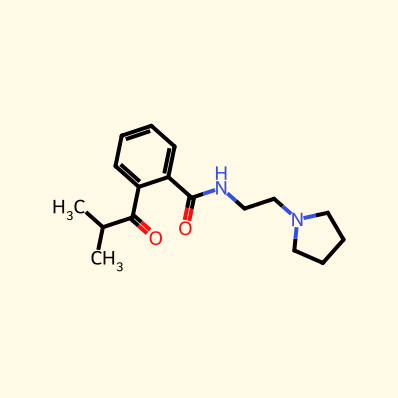 CC(C)C(=O)c1ccccc1C(=O)NCCN1CCCC1